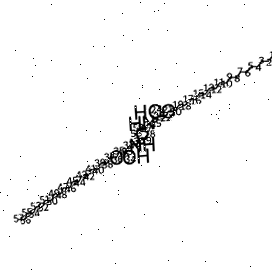 CCCCCCCCCCCCCCCCCCCCCOCC(O)CNc1ccc(NCC(O)COCCCCCCCCCCCCCCCCCCCCC)cc1